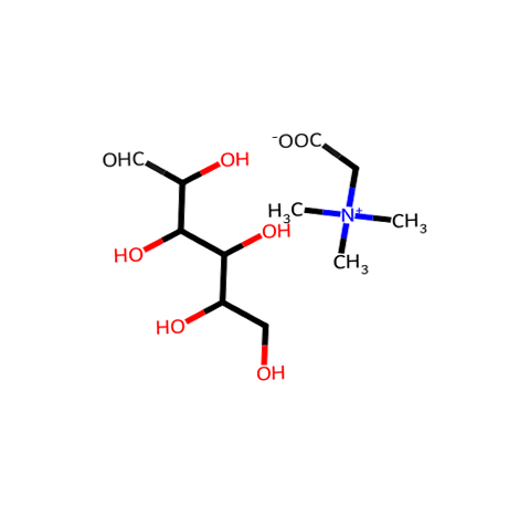 C[N+](C)(C)CC(=O)[O-].O=CC(O)C(O)C(O)C(O)CO